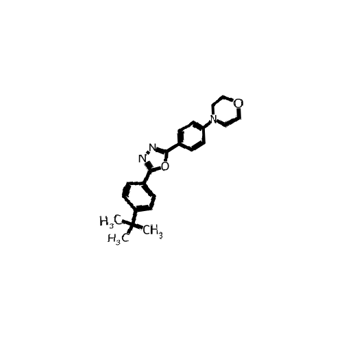 CC(C)(C)c1ccc(-c2nnc(-c3ccc(N4CCOCC4)cc3)o2)cc1